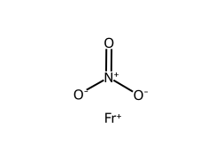 O=[N+]([O-])[O-].[Fr+]